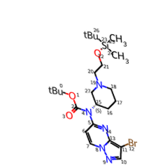 CC(C)(C)OC(=O)N(c1ccn2ncc(Br)c2n1)[C@H]1CCCN(CCO[Si](C)(C)C(C)(C)C)C1